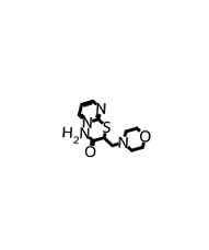 NC(=O)C(CN1CCOCC1)Sc1ncccn1